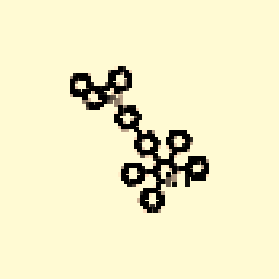 c1ccc(C2=C(c3ccccc3)C(c3ccc(-c4ccc(-n5c6ccccc6c6c7ccccc7ccc65)cc4)cc3)=C(c3ccccc3)C(c3ccccc3)N2)cc1